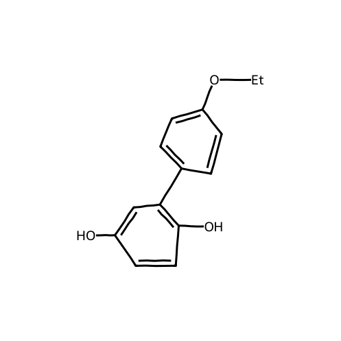 CCOc1ccc(-c2cc(O)ccc2O)cc1